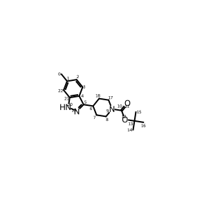 Cc1ccc2c(C3CCN(C(=O)OC(C)(C)C)CC3)n[nH]c2c1